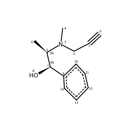 C#CCN(C)[C@H](C)[C@H](O)c1ccccc1